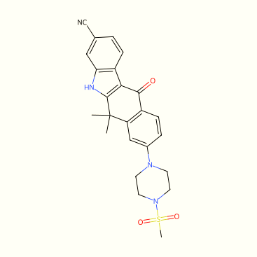 CC1(C)c2cc(N3CCN(S(C)(=O)=O)CC3)ccc2C(=O)c2c1[nH]c1cc(C#N)ccc21